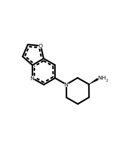 N[C@H]1CCCN(c2cnc3ccoc3c2)C1